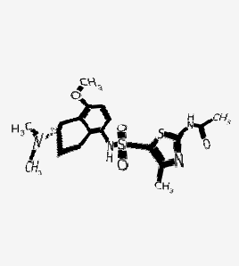 COc1ccc(NS(=O)(=O)c2sc(NC(C)=O)nc2C)c2c1C[C@@H](N(C)C)CC2